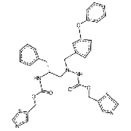 O=C(N[C@H](Cc1ccccc1)CN(Cc1cccc(Oc2ccccc2)c1)NC(=O)OCc1cncs1)OCc1cncs1